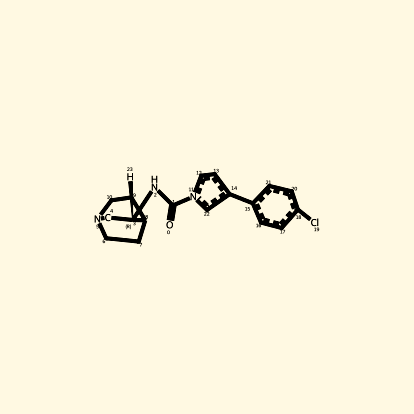 O=C(N[C@H]1CN2CCC1CC2)n1ccc(-c2ccc(Cl)cc2)c1